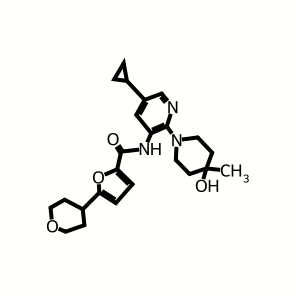 CC1(O)CCN(c2ncc(C3CC3)cc2NC(=O)c2ccc(C3CCOCC3)o2)CC1